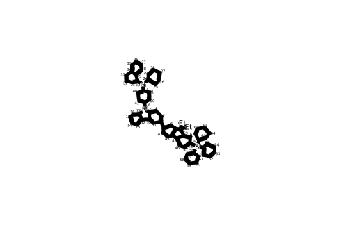 CCC1(CC)c2cc(-c3ccc4c(c3)c3ccccc3n4-c3ccc(N(c4ccccc4)c4cccc5ccccc45)cc3)ccc2-c2ccc([Si](c3ccccc3)(c3ccccc3)c3ccccc3)cc21